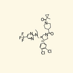 CCN(C[C@@H]1CN(C(=O)C2CCN(C(=O)C3(C)CC3)CC2)C[C@@H]1c1ccc(Cl)c(Cl)c1)c1ncc(C(F)(F)F)cn1